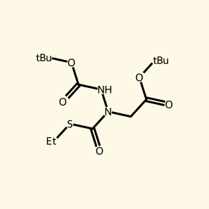 CCSC(=O)N(CC(=O)OC(C)(C)C)NC(=O)OC(C)(C)C